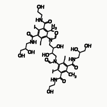 Cc1c(C(=O)NCCO)c(I)c(N(C=O)CC(O)C(O)CN(C=O)c2c(C)c(C(=O)NCCO)c(I)c(C(=O)NCC(O)CO)c2I)c(I)c1C(=O)NCC(O)CO